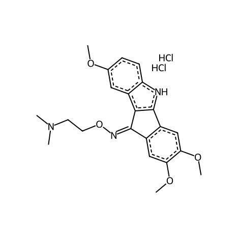 COc1ccc2[nH]c3c(c2c1)C(=NOCCN(C)C)c1cc(OC)c(OC)cc1-3.Cl.Cl